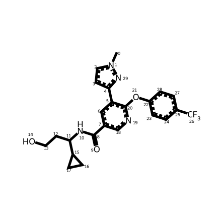 Cn1ccc(-c2cc(C(=O)NC(CCO)C3CC3)cnc2Oc2ccc(C(F)(F)F)cc2)n1